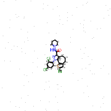 O=C(NN1CCCCC1)c1nn(-c2ccc(Cl)cc2Cl)c2c1CCCc1cc(Br)sc1-2